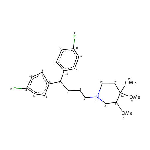 COC1CN(CCCC(c2ccc(F)cc2)c2ccc(F)cc2)CCC1(OC)OC